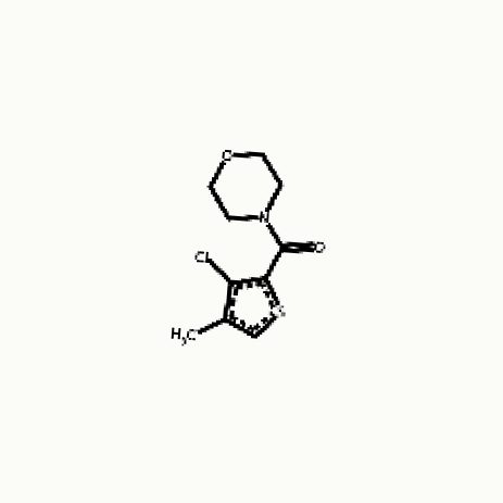 Cc1csc(C(=O)N2CCOCC2)c1Cl